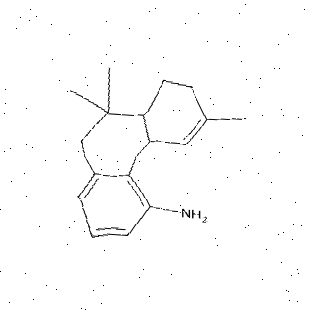 CC1=CC2c3c(N)cccc3CC(C)(C)C2CC1